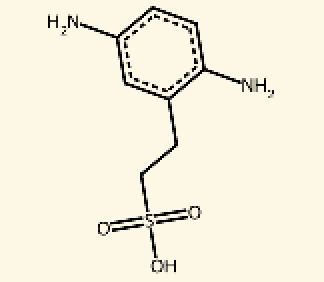 Nc1ccc(N)c(CCS(=O)(=O)O)c1